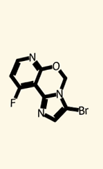 Fc1ccnc2c1-c1ncc(Br)n1CO2